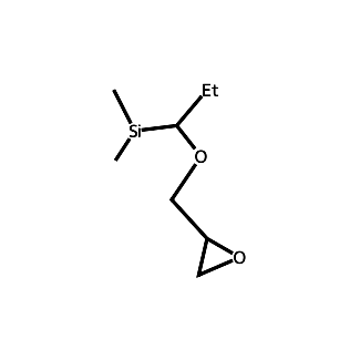 CCC(OCC1CO1)[Si](C)C